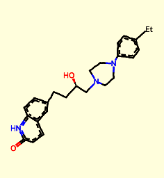 CCc1ccc(N2CCN(C[C@H](O)CCc3ccc4[nH]c(=O)ccc4c3)CC2)cc1